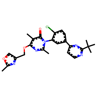 Cc1nc(COc2nc(C)n(-c3cc(-c4ccnc(C(C)(C)C)n4)ccc3Cl)c(=O)c2C)co1